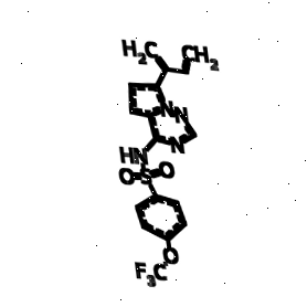 C=CC(=C)c1ccc2c(NS(=O)(=O)c3ccc(OC(F)(F)F)cc3)ncnn12